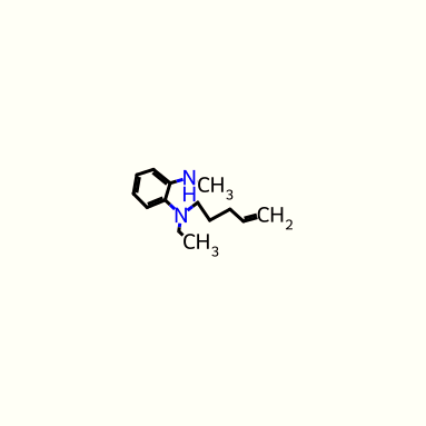 C=CCCCN(CC)c1ccccc1NC